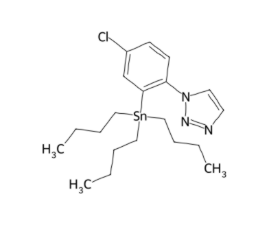 CCC[CH2][Sn]([CH2]CCC)([CH2]CCC)[c]1cc(Cl)ccc1-n1ccnn1